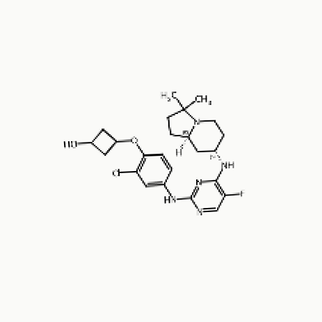 CC1(C)CC[C@@H]2C[C@@H](Nc3nc(Nc4ccc(OC5CC(O)C5)c(Cl)c4)ncc3F)CCN21